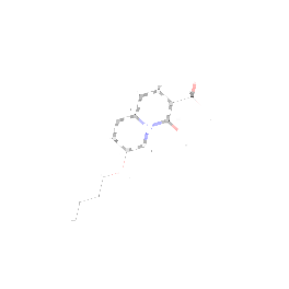 CCCCOc1ccc2ccc(C(=O)O)c(=O)n2c1